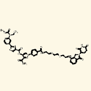 CC(C)(C)OC(=O)N(CC(F)(F)F)c1cc(-c2nc(C(=O)Nc3cn(-c4ccc(C(=O)NCCOCCOCCNc5cccc6c5CN(C5CCC(=O)NC5=O)C6=O)cc4)nc3C(N)=O)co2)ccn1